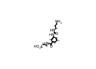 NCCCNC(=O)Nc1cccc(C(=O)NCCC(=O)O)c1